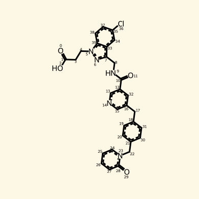 O=C(O)CCn1nc(CNC(=O)c2cncc(Cc3ccc(Cn4ccccc4=O)cc3)c2)c2cc(Cl)ccc21